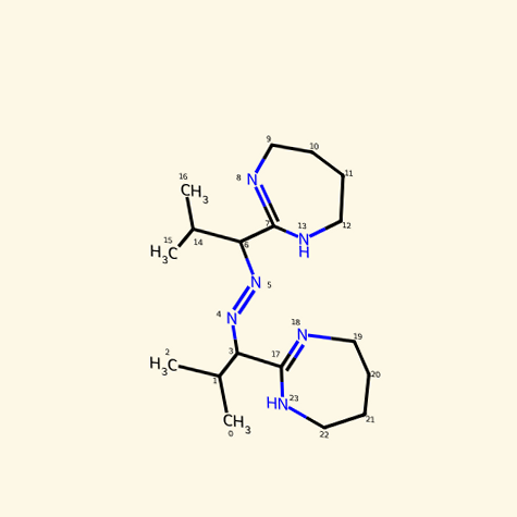 CC(C)C(N=NC(C1=NCCCCN1)C(C)C)C1=NCCCCN1